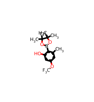 Cc1cc(OC(F)(F)F)cc(O)c1B1OC(C)(C)C(C)(C)O1